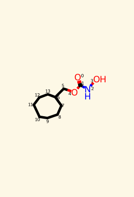 O=C(NO)OCC1CCCCCCC1